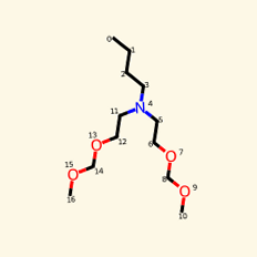 CCCCN(CCOCOC)CCOCOC